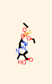 CCOP(=S)(OCC)Oc1cc2nc(C)c(C(=O)O)cn2n1